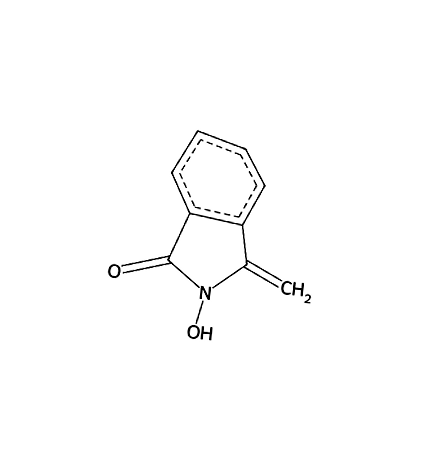 C=C1c2ccccc2C(=O)N1O